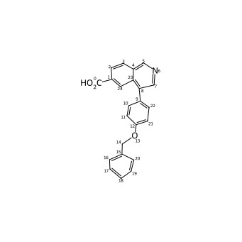 O=C(O)c1ccc2cncc(-c3ccc(OCc4ccccc4)cc3)c2c1